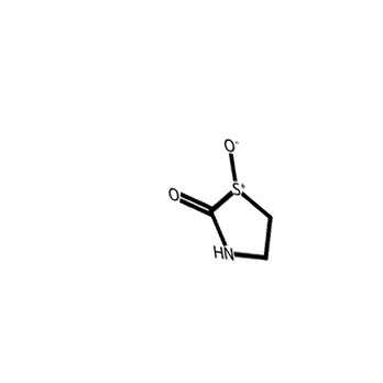 O=C1NCC[S+]1[O-]